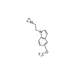 FC(F)(F)Oc1ccc2c(ccn2CCN2CC2)c1